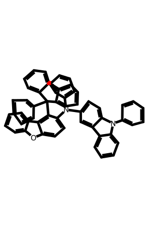 c1ccc(N(c2ccc3c(c2)c2ccccc2n3-c2ccccc2)c2ccc3oc4ccccc4c3c2C2(c3ccccc3)c3ccccc3-c3ccccc32)cc1